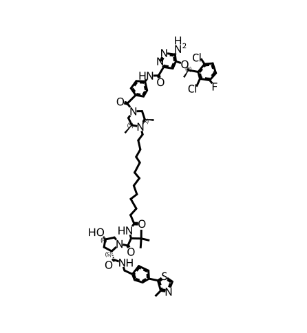 Cc1ncsc1-c1ccc(CNC(=O)[C@@H]2C[C@@H](O)CN2C(=O)C(NC(=O)CCCCCCCCCCCCN2[C@H](C)CN(C(=O)c3ccc(NC(=O)c4cc(O[C@H](C)c5c(Cl)ccc(F)c5Cl)c(N)nn4)cc3)C[C@@H]2C)C(C)(C)C)cc1